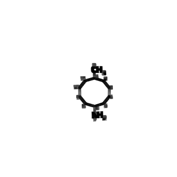 CC1CCCCC(N)CCCC1